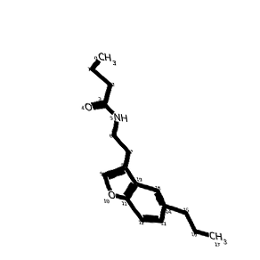 CCCC(=O)NCCc1coc2ccc(CCC)cc12